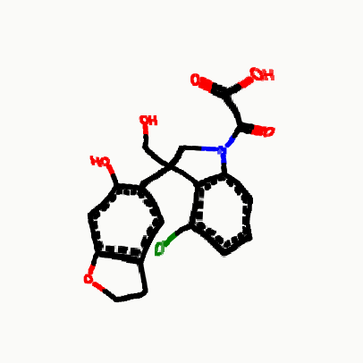 O=C(O)C(=O)N1CC(CO)(c2cc3c(cc2O)OCC3)c2c(Cl)cccc21